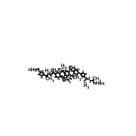 CCCCCC/C(C)=C/C=C(\C)c1ccc(-c2ccc3c(c2)C(C)(C)c2cc4c(cc2N3C)C(C)(C)c2cc(/C(C)=C/C=C(\C)c3ccc(CCCCCC)s3)ccc2N4C)s1